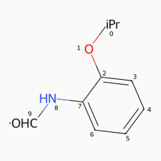 CC(C)Oc1ccccc1N[C]=O